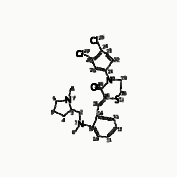 CN(CC1CCCN1C)c1ccccc1C=C1SCCN(c2ccc(Cl)c(Cl)c2)C1=O